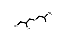 CC(I)COCC(O)CO